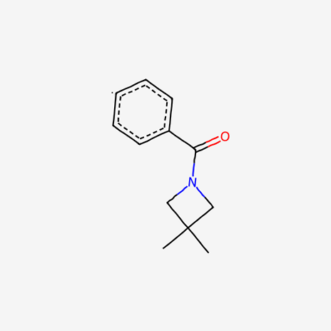 CC1(C)CN(C(=O)c2cc[c]cc2)C1